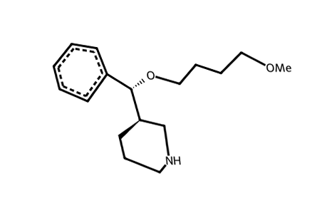 COCCCCO[C@@H](c1ccccc1)[C@@H]1CCCNC1